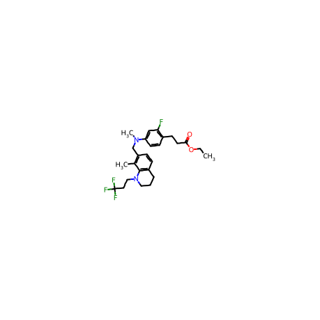 CCOC(=O)CCc1ccc(N(C)Cc2ccc3c(c2C)N(CCC(F)(F)F)CCC3)cc1F